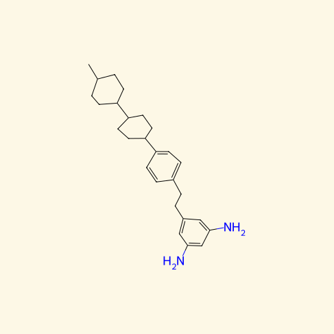 CC1CCC(C2CCC(c3ccc(CCc4cc(N)cc(N)c4)cc3)CC2)CC1